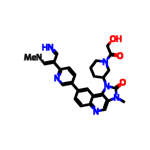 CN/C=C(\C=N)c1ccc(-c2ccc3ncc4c(c3c2)n(C2CCCN(C(=O)CO)C2)c(=O)n4C)cn1